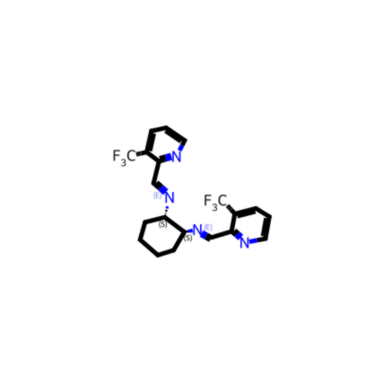 FC(F)(F)c1cccnc1/C=N/[C@H]1CCCC[C@@H]1/N=C/c1ncccc1C(F)(F)F